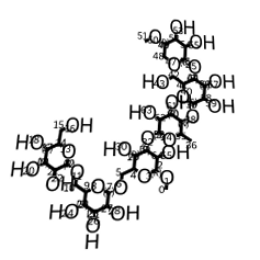 CO[C@@H]1OC(CO[C@H]2OC(CO[C@@H]3OC(CO)[C@@H](O)[C@H](O)C3O)[C@@H](O)[C@H](O)C2O)[C@@H](O)[C@H](O[C@@H]2OC(C)[C@H](O[C@@H]3OC(CO)[C@@H](O[C@@H]4OC[C@@H](OC)C(O)C4O)[C@@H](O)C3O)[C@H](O)C2O)C1O